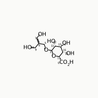 O=C(O)[C@H]1OC(OC/C(=C\O)CO)[C@H](O)[C@@H](O)[C@@H]1O